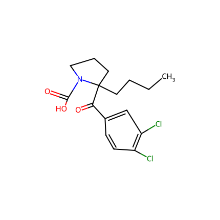 CCCCC1(C(=O)c2ccc(Cl)c(Cl)c2)CCCN1C(=O)O